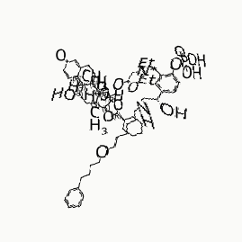 CC[N+](CC)(CC(=O)OCC(=O)[C@@]12O[C@H](C3CCCCC3)O[C@@H]1C[C@H]1[C@@H]3CCC4=CC(=O)C=C[C@]4(C)[C@H]3[C@@H](O)C[C@@]12C)Cc1cc(C(O)CNCCCCCCOCCCCc2ccccc2)ccc1OP(=O)(O)O